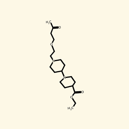 CCOC(=O)C1CCN(C2CCN(CCOCCC(C)=O)CC2)CC1